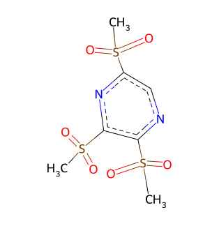 CS(=O)(=O)c1cnc(S(C)(=O)=O)c(S(C)(=O)=O)n1